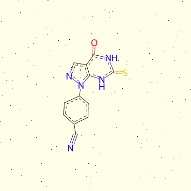 N#Cc1ccc(-n2ncc3c(=O)[nH]c(=S)[nH]c32)cc1